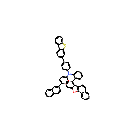 c1ccc(N(c2ccc(-c3ccc4ccccc4c3)cc2)c2ccc(-c3ccc4c(c3)sc3ccccc34)cc2)c(-c2cccc3oc4c5ccccc5ccc4c23)c1